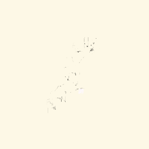 CC/C=C(/C)OC(NC(=O)C(C)c1ccc(NS(C)(=O)=O)c(F)c1)c1ccc(C(F)(F)F)nc1